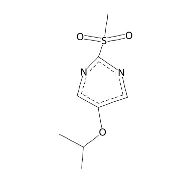 CC(C)Oc1cnc(S(C)(=O)=O)nc1